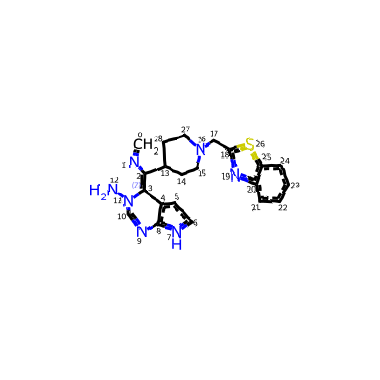 C=N/C(=C1/c2cc[nH]c2N=CN1N)C1CCN(Cc2nc3ccccc3s2)CC1